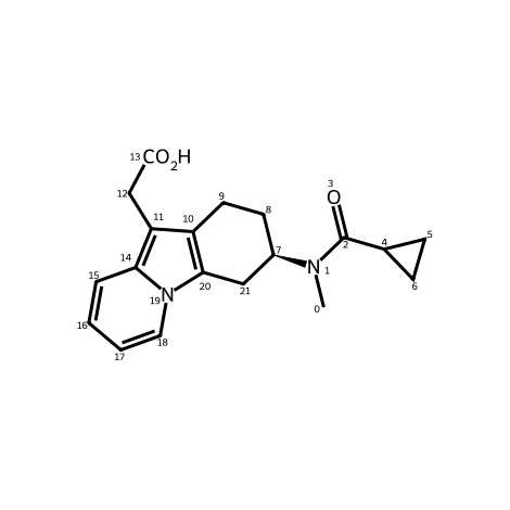 CN(C(=O)C1CC1)[C@@H]1CCc2c(CC(=O)O)c3ccccn3c2C1